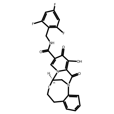 O=C(NCc1c(F)cc(F)cc1F)c1cn2c(c(O)c1=O)C(=O)N1C[C@H]2CCCc2ccccc21